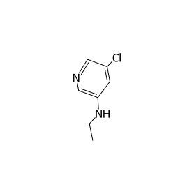 CCNc1cncc(Cl)c1